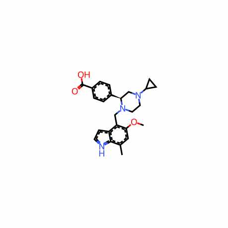 COc1cc(C)c2[nH]ccc2c1CN1CCN(C2CC2)C[C@@H]1c1ccc(C(=O)O)cc1